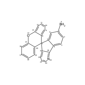 Bc1ccc2c(c1)C1(c3ccccc3Oc3ccccc31)c1cccnc1-2